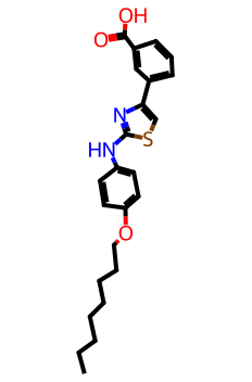 CCCCCCCCOc1ccc(Nc2nc(-c3cccc(C(=O)O)c3)cs2)cc1